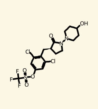 O=C1[C@H](Cc2c(Cl)cc(OS(=O)(=O)C(F)(F)F)cc2Cl)CCN1N1CCC(O)CC1